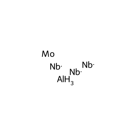 [AlH3].[Mo].[Nb].[Nb].[Nb]